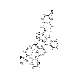 O=C([C@H](Cc1ccccc1)N(Cc1ccc(-c2ccccn2)cc1)C(=O)/C=C/c1ccc(C(F)(F)F)cc1)N1CCc2cc(F)ccc2C1